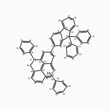 C/C=c1/cc(-c2ccc3c(c2)C(c2ccccc2)(c2ccccc2)c2ccccc2-3)cc2c1=C1C(=CC=C/C1=N\c1ccccc1)CN2c1ccccc1